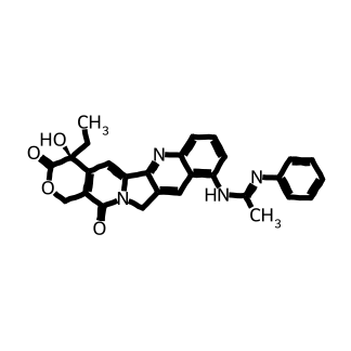 CC[C@@]1(O)C(=O)OCc2c1cc1n(c2=O)Cc2cc3c(NC(C)=Nc4ccccc4)cccc3nc2-1